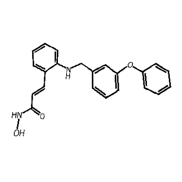 O=C(/C=C/c1ccccc1NCc1cccc(Oc2ccccc2)c1)NO